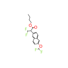 CCCCOC(=O)C(c1ccc2cc(OC(F)F)ccc2c1)C(F)F